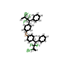 C=C(Br)C(F)(F)C(c1ccccc1)c1ccc(Sc2ccc(C(c3ccccc3)C(F)(F)C(=C)Br)cc2)cc1